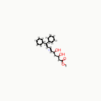 COC(=O)CC(O)CC(O)/C=C/C=C(c1ccccc1)c1ccccc1